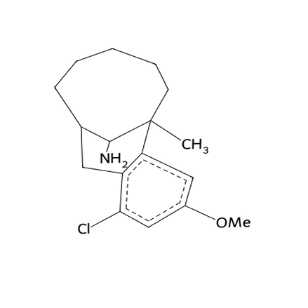 COc1cc(Cl)c2c(c1)C1(C)CCCCCC(C2)C1N